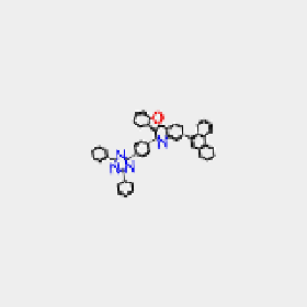 c1ccc(-c2nc(-c3ccccc3)nc(-c3ccc(-c4nc5cc(-c6cc7ccccc7c7ccccc67)ccc5c5oc6ccccc6c45)cc3)n2)cc1